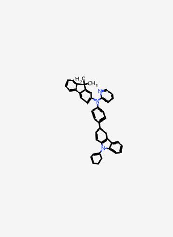 CC1(C)c2ccccc2-c2ccc(N(c3ccc(C4C=Cc5c(c6ccccc6n5C5=CC=CCC5)C4)cc3)c3ccccn3)cc21